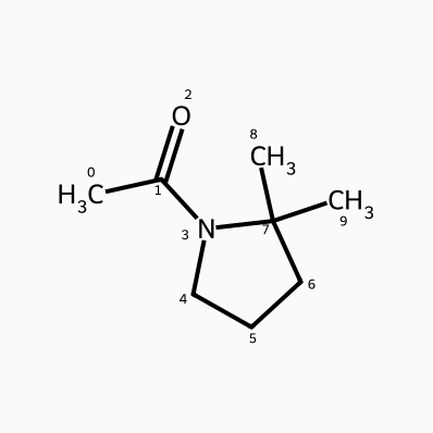 CC(=O)N1CCCC1(C)C